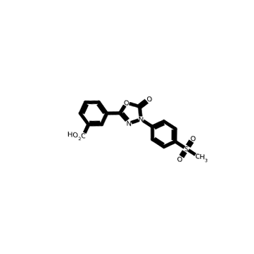 CS(=O)(=O)c1ccc(-n2nc(-c3cccc(C(=O)O)c3)oc2=O)cc1